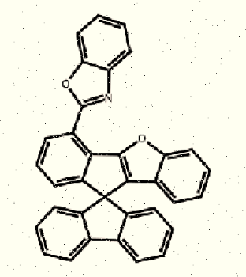 c1ccc2c(c1)-c1ccccc1C21c2cccc(-c3nc4ccccc4o3)c2-c2oc3ccccc3c21